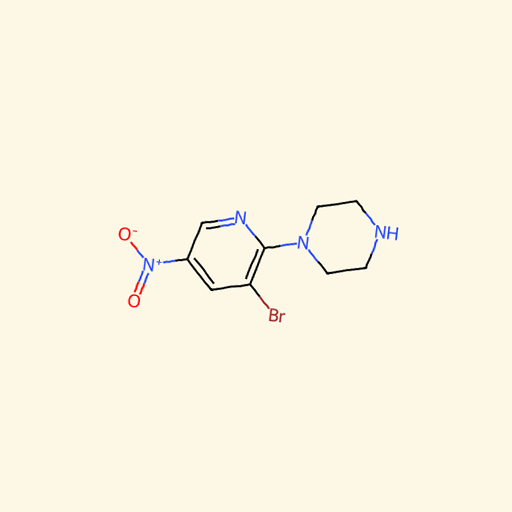 O=[N+]([O-])c1cnc(N2CCNCC2)c(Br)c1